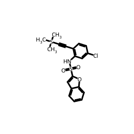 CS(C)(C)C#Cc1ccc(Cl)cc1NS(=O)(=O)c1cc2ccccc2o1